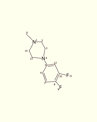 CN1CCN(c2ccc(F)c(F)c2)CC1